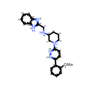 COc1ccccc1-c1ccc(N2CCCC(NCc3nc4ccccc4[nH]3)C2)nn1